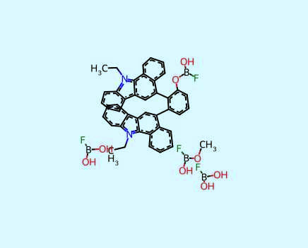 CCn1c2ccccc2c2cc(-c3cccc(OB(O)F)c3-c3cc4c5ccccc5n(CC)c4c4ccccc34)c3ccccc3c21.COB(O)F.OB(O)F.OB(O)F